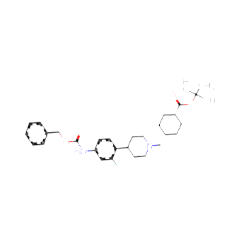 CC(C)(C)OC(=O)[C@H]1CC[C@H](CN2CCC(c3ccc(NC(=O)OCc4ccccc4)cc3F)CC2)CC1